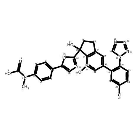 CN(C(=O)O)c1ccc(-c2cnc(C3(O)CCc4cc(-c5cc(Cl)ccc5-n5cnnn5)c[n+]([O-])c43)[nH]2)cc1